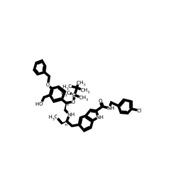 CC[C@H](Cc1ccc2[nH]c(C(=O)NCc3ccc(Cl)cc3)cc2c1)NC[C@H](O[Si](C)(C)C(C)(C)C)c1ccc(OCc2ccccc2)c(CO)c1